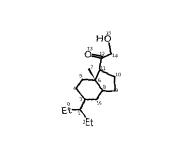 CCC(CC)C1CC[C@@]2(C)C(CCC2C(=O)CO)C1